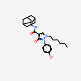 CCCCCCn1cc(C(=O)NC23CC4CC(CC(C4)C2)C3)c(=O)n1-c1ccc(Br)cc1